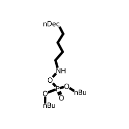 CCCCCCCCCCCCCCNOP(=O)(OCCCC)OCCCC